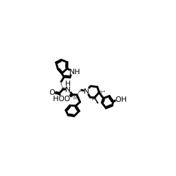 C[C@H]1CN(C[C@H](Cc2ccccc2)C(=O)N[C@@H](Cc2c[nH]c3ccccc23)C(=O)O)CC[C@@]1(C)c1cccc(O)c1